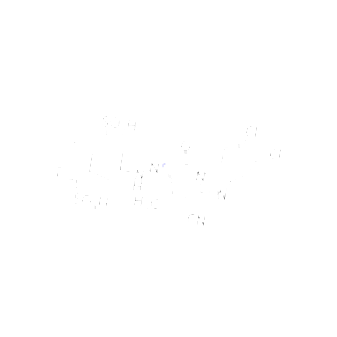 CC1=C(C#N)c2nc3cc(Cl)c(Cl)cc3n2C(=O)/C1=N/Nc1cc(S(=O)(=O)O)c2cccc(S(=O)(=O)O)c2c1